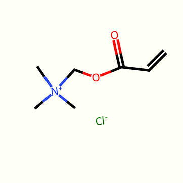 C=CC(=O)OC[N+](C)(C)C.[Cl-]